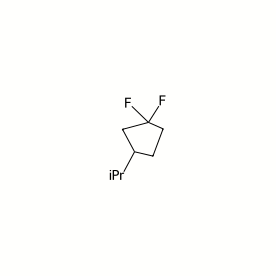 [CH2]C(C)C1CCC(F)(F)C1